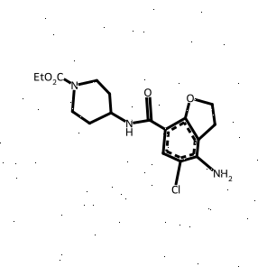 CCOC(=O)N1CCC(NC(=O)c2cc(Cl)c(N)c3c2OCC3)CC1